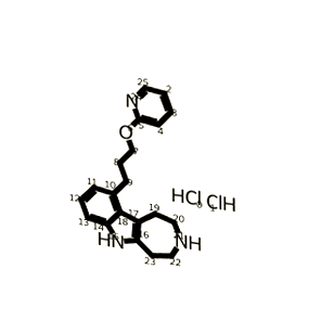 Cl.Cl.c1ccc(OCCCc2cccc3[nH]c4c(c23)CCNCC4)nc1